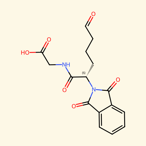 O=CCCC[C@@H](C(=O)NCC(=O)O)N1C(=O)c2ccccc2C1=O